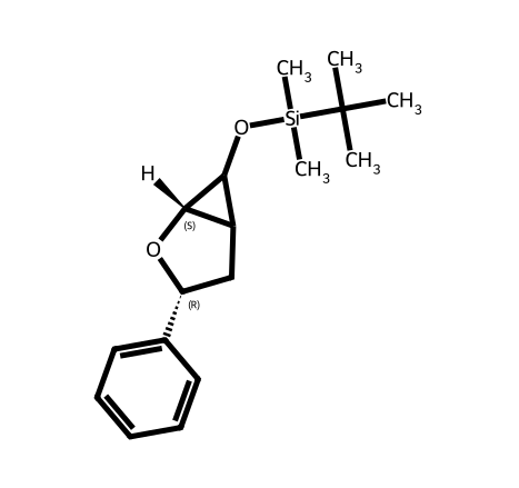 CC(C)(C)[Si](C)(C)OC1C2C[C@H](c3ccccc3)O[C@@H]21